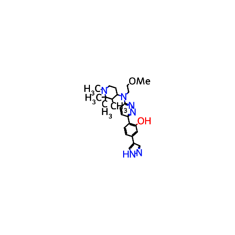 COCCN(c1ccc(-c2ccc(-c3cn[nH]c3)cc2O)nn1)C1CCN(C)C(C)(C)C1C